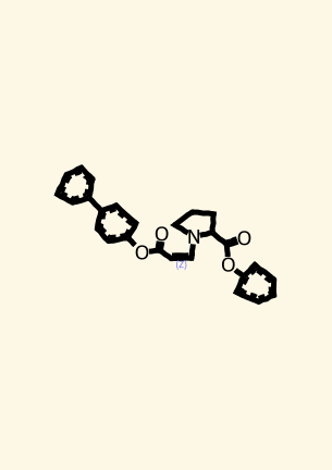 O=C(/C=C\N1CCCC1C(=O)Oc1ccccc1)Oc1ccc(-c2ccccc2)cc1